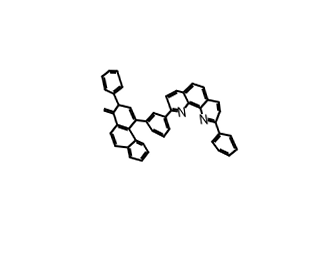 C=C1c2ccc3ccccc3c2C(c2cccc(-c3ccc4ccc5ccc(-c6ccccc6)nc5c4n3)c2)=CC1c1ccccc1